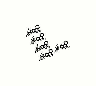 CCOP(=S)(OCC)Oc1ccc2c3c(c(=O)oc2c1)CCCC3.CCOP(=S)(OCC)Oc1ccc2c3c(c(=O)oc2c1)CCCC3.CCOP(=S)(OCC)Oc1ccc2c3c(c(=O)oc2c1)CCCC3.CCOP(=S)(OCC)Oc1ccc2c3c(c(=O)oc2c1)CCCC3.CCOP(=S)(OCC)Oc1ccc2c3c(c(=O)oc2c1)CCCC3